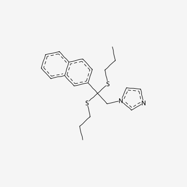 CCCSC(Cn1ccnc1)(SCCC)c1ccc2ccccc2c1